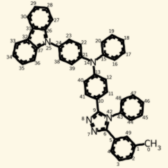 Cc1cccc(-c2nnc(-c3ccc(N(c4ccccc4)c4ccc(-n5c6ccccc6c6ccccc65)cc4)cc3)n2-c2ccccc2)c1